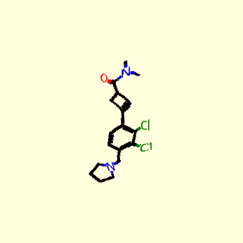 CN(C)C(=O)C1C=C(c2ccc(CN3CCCC3)c(Cl)c2Cl)C1